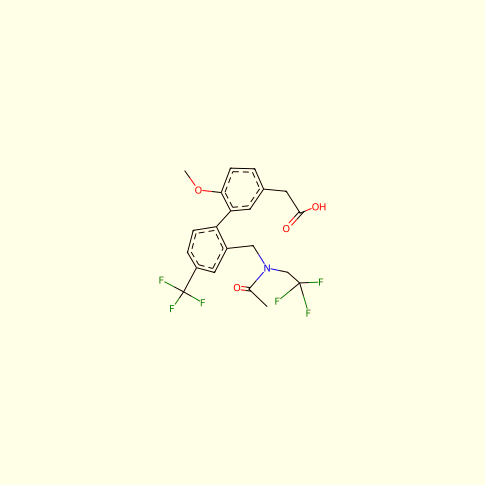 COc1ccc(CC(=O)O)cc1-c1ccc(C(F)(F)F)cc1CN(CC(F)(F)F)C(C)=O